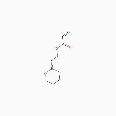 C=CC(=O)OCC[SiH]1CCCCO1